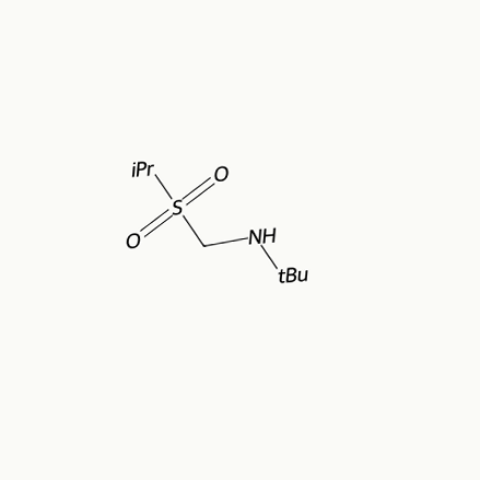 CC(C)S(=O)(=O)CNC(C)(C)C